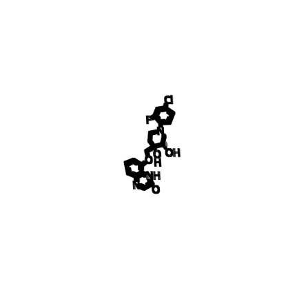 O=c1cnc2cccc(OC[C@]3(O)CCN(c4ccc(Cl)cc4F)C[C@H]3O)c2[nH]1